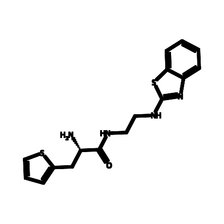 N[C@@H](Cc1cccs1)C(=O)NCCNc1nc2ccccc2s1